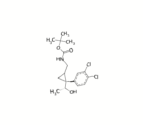 C[C@@H](O)[C@]1(c2ccc(Cl)c(Cl)c2)CC1CNC(=O)OC(C)(C)C